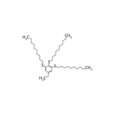 CCCCCCCCCCSc1cc(CC)cc(SCCCCCCCCCC)c1SCCCCCCCCCC